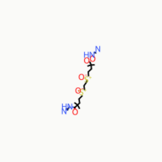 CC(C)(CCC[S+]([O-])CCC[S+]([O-])CCCC(C)(C)C(=O)ONC#N)C(=O)NC#N